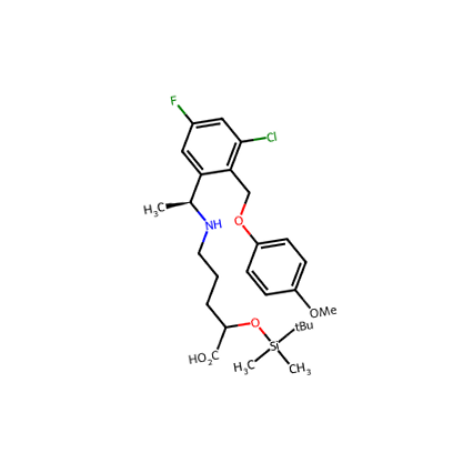 COc1ccc(OCc2c(Cl)cc(F)cc2[C@H](C)NCCCC(O[Si](C)(C)C(C)(C)C)C(=O)O)cc1